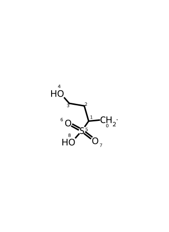 [CH2]C(CCO)S(=O)(=O)O